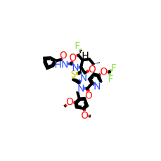 COc1ccc(CN(C(=O)c2ccc(OC(F)F)cn2)c2csc([C@]34CO[C@@H](C)C[C@H]3[C@@H](CF)OC(NC(=O)c3ccccc3)=N4)n2)c(OC)c1